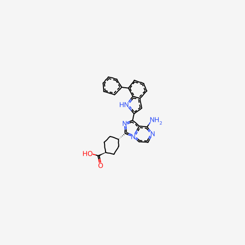 Nc1nccn2c1c(-c1cc3cccc(-c4ccccc4)c3[nH]1)nc2[C@H]1CC[C@H](C(=O)O)CC1